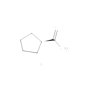 COC(=O)[C@@H]1CCC[C@H]1I